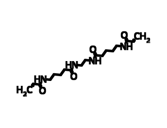 C=CC(=O)NCCCCC(=O)NCCNC(=O)CCCCNC(=O)C=C